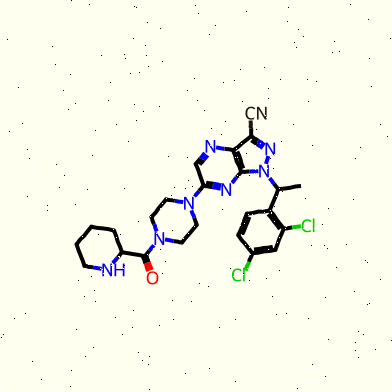 CC(c1ccc(Cl)cc1Cl)n1nc(C#N)c2ncc(N3CCN(C(=O)C4CCCCN4)CC3)nc21